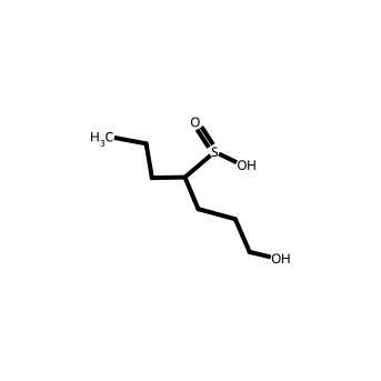 CCCC(CCCO)S(=O)O